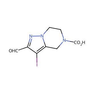 O=Cc1nn2c(c1I)CN(C(=O)O)CC2